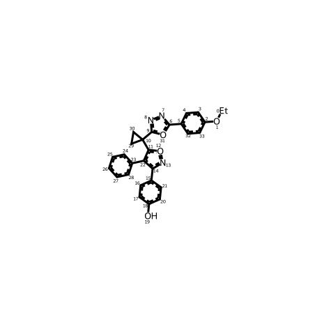 CCOc1ccc(-c2nnc(C3(c4onc(-c5ccc(O)cc5)c4-c4ccccc4)CC3)o2)cc1